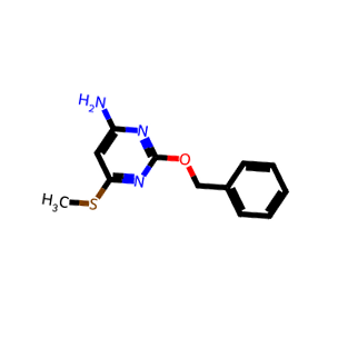 CSc1cc(N)nc(OCc2ccccc2)n1